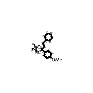 COc1ccc(C(C#N)(/C=C/c2ccccc2)O[Si](C)(C)C)cc1